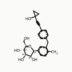 Cc1ccc([C@@H]2O[C@H](CO)[C@@H](O)[C@H](O)[C@H]2O)cc1Cc1ccc(C#CC2(O)CC2)cc1